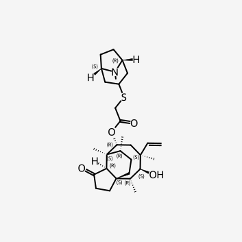 C=C[C@]1(C)C[C@@H](OC(=O)CSC2C[C@H]3CC[C@@H](C2)N3C)[C@@]2(C)[C@H](C)CC[C@]3(CCC(=O)[C@H]32)[C@@H](C)[C@@H]1O